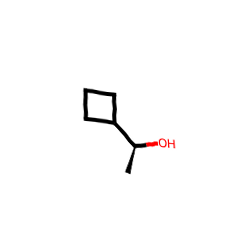 C[C@H](O)C1CCC1